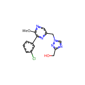 COc1ncc(Cn2cnc(CO)n2)nc1-c1cccc(Cl)c1